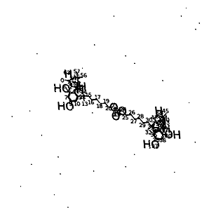 CC1=C[C@H](c2c(O)cc(O)cc2C(C)(C)CCCCCCO[N+](=O)OCCCCCCC(C)(C)c2cc(O)cc(O)c2[C@H]2C=C(C)[C@@H]3C[C@@H]2C3(C)C)[C@@H]2C[C@@H]1C2(C)C